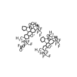 COC(=O)c1ccccc1-c1c2cc(C)c(NC(F)(F)CF)cc2[o+]c2cc(NC(F)(F)CF)c(C)cc12.COC(=O)c1ccccc1-c1c2cc(C)c(NC(F)(F)CF)cc2[o+]c2cc(NC(F)(F)CF)c(C)cc12.[O-]B([O-])F